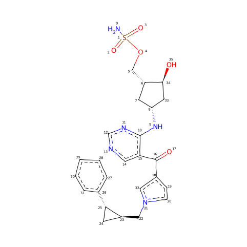 NS(=O)(=O)OC[C@H]1C[C@@H](Nc2ncncc2C(=O)c2ccn(C[C@H]3C[C@@H]3c3ccccc3)c2)C[C@@H]1O